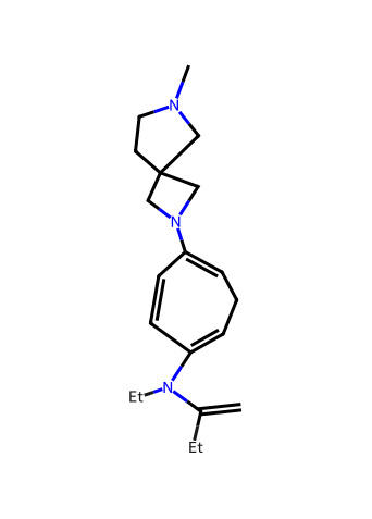 C=C(CC)N(CC)C1=CCC=C(N2CC3(CCN(C)C3)C2)C=C1